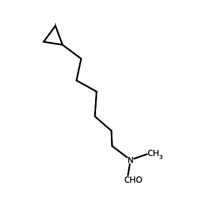 CN(C=O)CCCCCCC1[CH]C1